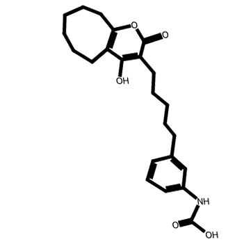 O=C(O)Nc1cccc(CCCCCc2c(O)c3c(oc2=O)CCCCCC3)c1